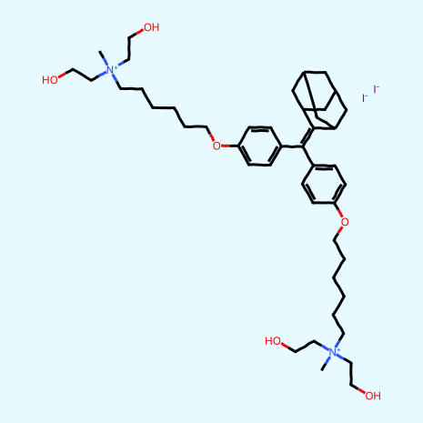 C[N+](CCO)(CCO)CCCCCCOc1ccc(C(=C2C3CC4CC(C3)CC2C4)c2ccc(OCCCCCC[N+](C)(CCO)CCO)cc2)cc1.[I-].[I-]